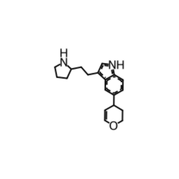 C1=CC(c2ccc3[nH]cc(CCC4CCCN4)c3c2)CCO1